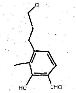 Cc1c(CCCCl)ccc(C=O)c1O